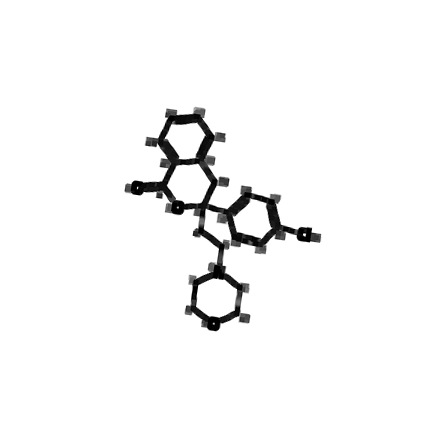 O=C1OC(CCN2CCOCC2)(c2ccc(Cl)cc2)Cc2ccccc21